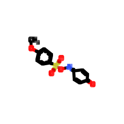 COc1ccc(S(=O)(=O)ON=C2C=CC(=O)C=C2)cc1